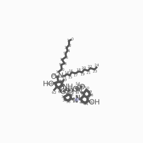 CCCCCCCCCCCCN(CCCCCCCCCCCC)C(=O)c1c(C)c(NS(=O)(=O)c2cccc(/N=N/c3ccc(O)c4cccc(NS(C)(=O)=O)c34)c2)c(C)c(C)c1O